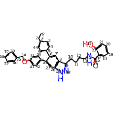 CCc1ccc(-c2cc3c(CCCCNC(=O)c4ccccc4O)n[nH]c3cc2-c2ccc(OCc3ccccc3)cc2)cc1